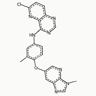 Cc1cc(Nc2ncnc3ccc(Cl)nc23)ccc1Oc1cnc2c(c1)ncn2C